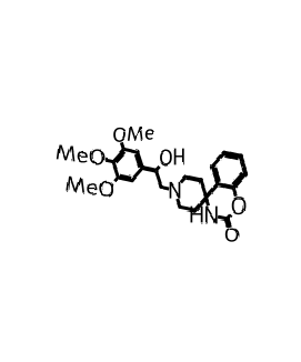 COc1cc(C(O)CN2CCC3(CC2)NC(=O)Oc2ccccc23)cc(OC)c1OC